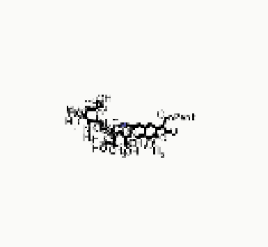 C/C=C/C1=CC2=CC3=C(C(=O)CCCCC)C(=O)OC3(C)C(=O)C2=CN1C1[C@](C)(O)[C@](C)(COC[C@]2(C)OC(C)(CO)[C@@](C)(O)[C@@](C)(O)C2N)C(C)(CO)O[C@@]1(C)O